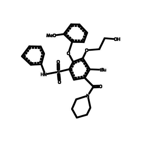 COc1ccccc1Oc1c(S(=O)(=O)Nc2ccccc2)cc(C(=O)N2CCCCC2)c(C(C)(C)C)c1OCCO